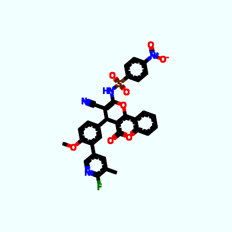 COc1ccc(C2C(C#N)=C(NS(=O)(=O)c3ccc([N+](=O)[O-])cc3)Oc3c2c(=O)oc2ccccc32)cc1-c1cnc(F)c(C)c1